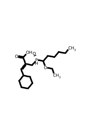 CCCCCC(OCC)[PH](=O)CC(=CC1CCCCC1)C(=O)O